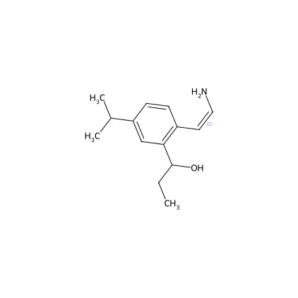 CCC(O)c1cc(C(C)C)ccc1/C=C\N